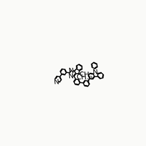 CC1(C)c2ccccc2-c2nc(-c3cccc(-c4ccncc4)c3)nc(-c3cccc(-c4cccc(-c5ccc6c(c5)c5ccccc5n6-c5ccccc5)c4)c3)c21